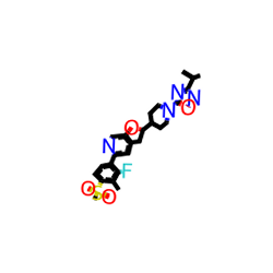 Cc1c(S(C)(=O)=O)ccc(-c2cc3c(cn2)OC(C2CCN(c4nc(C(C)C)no4)CC2)C3)c1F